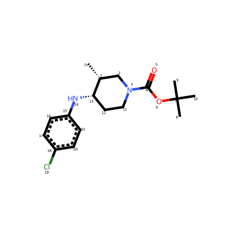 C[C@@H]1CN(C(=O)OC(C)(C)C)CC[C@@H]1Nc1ccc(Cl)cc1